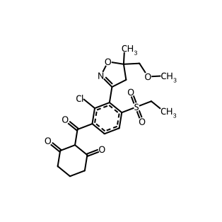 CCS(=O)(=O)c1ccc(C(=O)C2C(=O)CCCC2=O)c(Cl)c1C1=NOC(C)(COC)C1